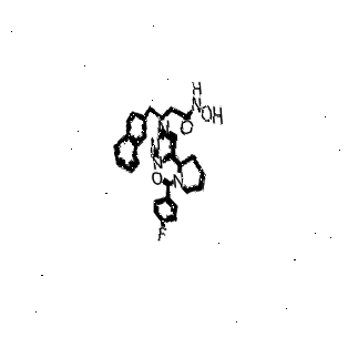 O=C(CC(Cc1ccc2ccccc2c1)n1cc(C2CCCCN2C(=O)c2ccc(F)cc2)nn1)NO